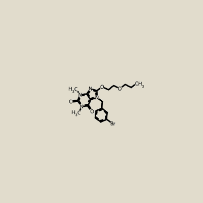 CCCOCCOc1nc2c(c(=O)n(C)c(=O)n2C)n1Cc1cccc(Br)c1